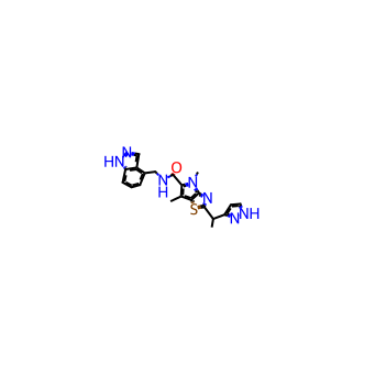 Cc1c(C(=O)NCc2cccc3[nH]ncc23)n(C)c2nc(C(C)c3cc[nH]n3)sc12